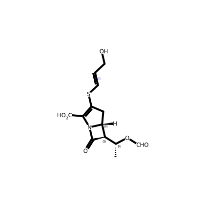 C[C@@H](OC=O)[C@H]1C(=O)N2C(C(=O)O)=C(S/C=C/CO)C[C@H]12